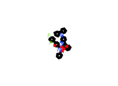 Fc1ccc(-c2ccc(-c3nc(-c4ccccc4)nc(-c4ccccc4)n3)c(-n3c4ccccc4c4ccc(-n5c6ccccc6c6ccccc65)cc43)c2)c(F)c1